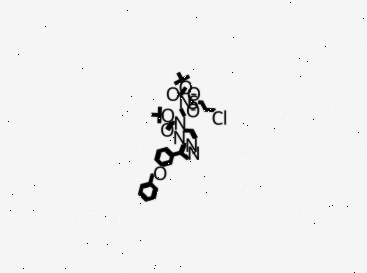 CC(C)(C)OC(=O)N(CCN(C(=O)OC(C)(C)C)S(=O)(=O)CCCCl)c1ccn2ncc(-c3cccc(OCc4ccccc4)c3)c2n1